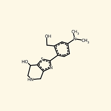 CN(C)c1ccc(-c2nc3c(s2)C(O)CNC3)c(CO)c1